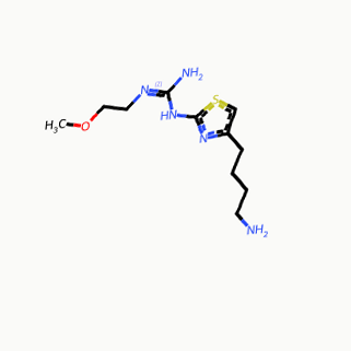 COCC/N=C(/N)Nc1nc(CCCCN)cs1